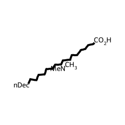 CCCCCCCCCCCCCCCCCCCCCCCCCCC(=O)O.CNC